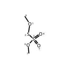 COSS(=O)(=O)OC